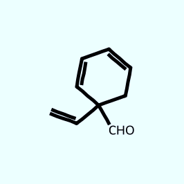 C=CC1(C=O)C=CC=CC1